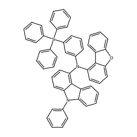 c1ccc(-n2c3ccccc3c3c(N(c4cccc([Si](c5ccccc5)(c5ccccc5)c5ccccc5)c4)c4cccc5oc6ccccc6c45)cccc32)cc1